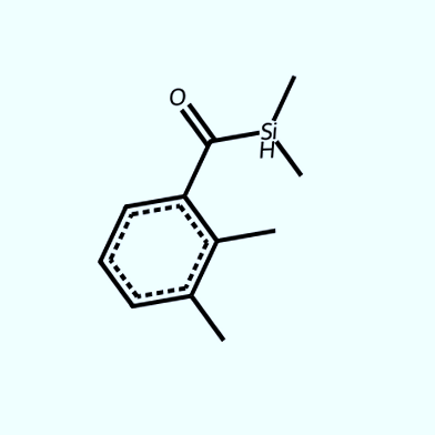 Cc1cccc(C(=O)[SiH](C)C)c1C